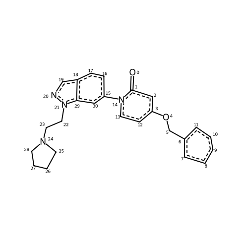 O=c1cc(OCc2ccccc2)ccn1-c1ccc2cnn(CCN3CCCC3)c2c1